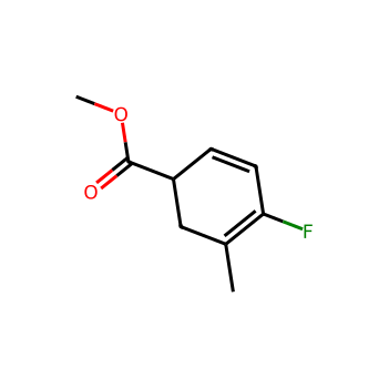 COC(=O)C1C=CC(F)=C(C)C1